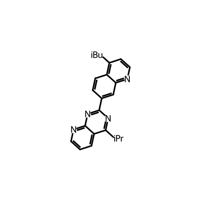 CCC(C)c1ccnc2cc(-c3nc(C(C)C)c4cccnc4n3)ccc12